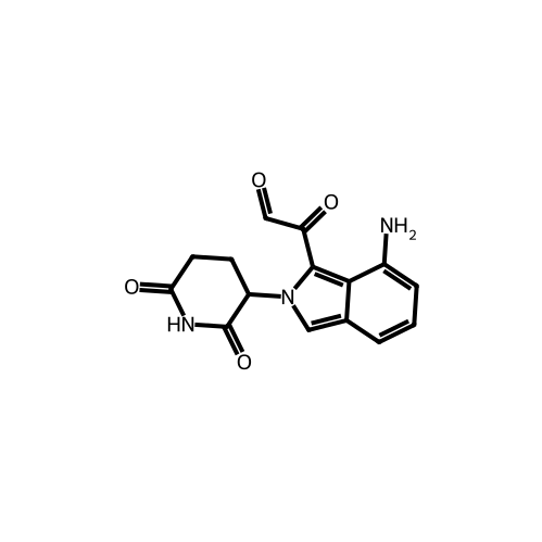 Nc1cccc2cn(C3CCC(=O)NC3=O)c(C(=O)C=O)c12